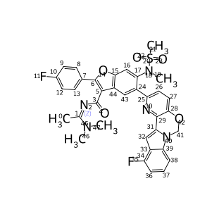 C/C(=N/C(=O)c1c(-c2ccc(F)cc2)oc2cc(N(C)S(C)(=O)=O)c(-c3ccc4c(n3)-c3cc5c(F)cccc5n3CO4)cc12)N(C)C